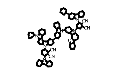 N#Cc1cc(-n2c3ccc(-n4c5ccccc5c5cc(-c6ccc7c(c6)c6c8c9ccccc9n(-c9ccccc9)c8ccc6n7-c6ccc(-n7c8ccccc8c8ccccc87)c(C#N)c6C#N)ccc54)cc3c3c4oc5ccccc5c4ccc32)cc(-n2c3ccccc3c3cc(-c4ccccc4)ccc32)c1C#N